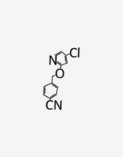 N#Cc1ccc(COc2cc(Cl)ccn2)cc1